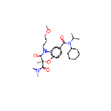 COCCCN1C(=O)C(C)(C(=O)N(C)C)Oc2ccc(C(=O)N(C(C)C)C3CCCCC3)cc21